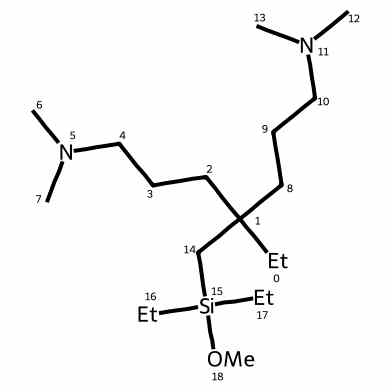 CCC(CCCN(C)C)(CCCN(C)C)C[Si](CC)(CC)OC